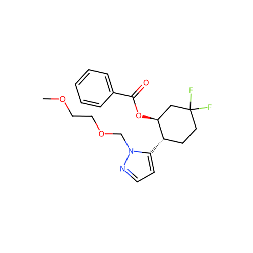 COCCOCn1nccc1[C@H]1CCC(F)(F)C[C@@H]1OC(=O)c1ccccc1